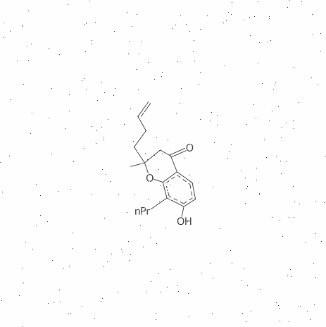 C=CCCC1(C)CC(=O)c2ccc(O)c(CCC)c2O1